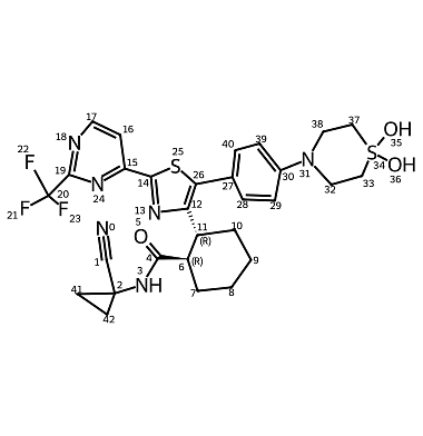 N#CC1(NC(=O)[C@@H]2CCCC[C@H]2c2nc(-c3ccnc(C(F)(F)F)n3)sc2-c2ccc(N3CCS(O)(O)CC3)cc2)CC1